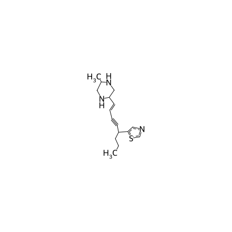 CCCC(C#C/C=C/C1CNC(C)CN1)c1cncs1